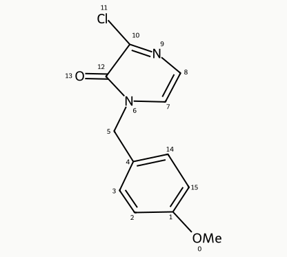 COc1ccc(Cn2ccnc(Cl)c2=O)cc1